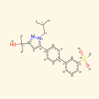 CC(C)Cn1nc(C(C)(C)O)cc1-c1ccc(-c2cccc(S(C)(=O)=O)c2)cc1